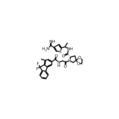 Cc1cc(C(=O)NCC(=O)N2CC3(C[C@H]2C(=O)NC(C)c2cc(C(=N)N)cs2)OCCO3)cc2c1C(F)(F)c1ccccc1-2